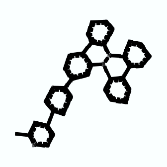 Cc1cc(-c2ccc(-c3ccc4c(c3)B3c5ccccc5-c5ccccc5N3c3ccccc3-4)cc2)ccn1